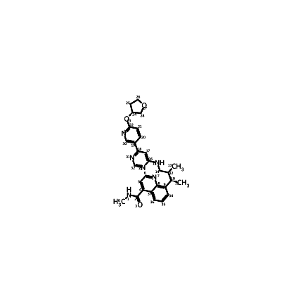 CNC(=O)c1ccnc2c([C@H](C)C(C)CNc3cc(-c4ccc(O[C@H]5CCOC5)nc4)ncn3)cccc12